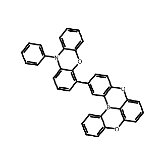 c1ccc(N2c3ccccc3Oc3c(-c4ccc5c(c4)B4c6ccccc6Oc6cccc(c64)O5)cccc32)cc1